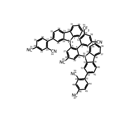 N#Cc1cc(-c2c(-n3c4ccccc4c4ccc(-c5ccc(C#N)cc5C#N)cc43)cc(C#N)cc2-n2c3ccccc3c3ccc(-c4ccc(C#N)cc4C#N)cc32)cc(C(F)(F)F)c1